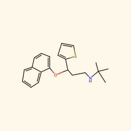 CC(C)(C)NCCC(Oc1cccc2ccccc12)c1cccs1